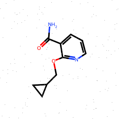 NC(=O)c1cccnc1OCC1CC1